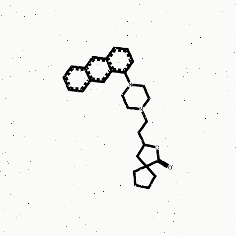 O=C1OC(CCN2CCN(c3cccc4cc5ccccc5cc34)CC2)CC12CCCC2